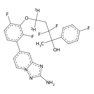 [2H]C([2H])(CC(F)(F)C(C)(O)c1ccc(F)cc1)Oc1c(F)ccc(-c2ccn3nc(N)nc3c2)c1F